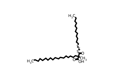 CCCCCCCCCCCCCCCCCCC(C)(C(=O)O)C(=O)SSSCCCCCCCCCCCC